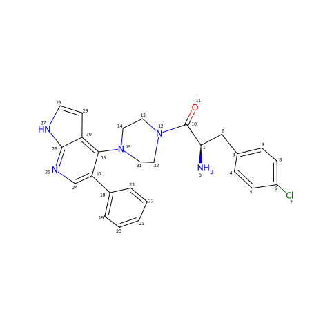 N[C@H](Cc1ccc(Cl)cc1)C(=O)N1CCN(c2c(-c3ccccc3)cnc3[nH]ccc23)CC1